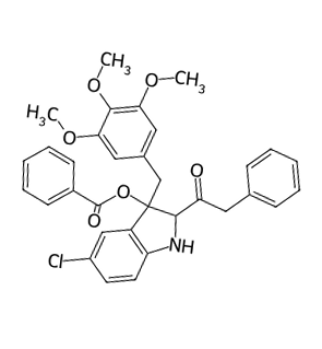 COc1cc(CC2(OC(=O)c3ccccc3)c3cc(Cl)ccc3NC2C(=O)Cc2ccccc2)cc(OC)c1OC